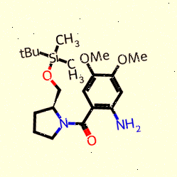 COc1cc(N)c(C(=O)N2CCC[C@H]2CO[Si](C)(C)C(C)(C)C)cc1OC